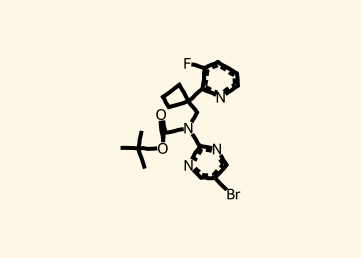 CC(C)(C)OC(=O)N(CC1(c2ncccc2F)CCC1)c1ncc(Br)cn1